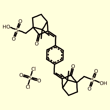 CC1(C)C2CCC1(CS(=O)(=O)O)C(=O)/C2=C\c1ccc(/C=C2\C(=O)C3(CS(=O)(=O)O)CCC2C3(C)C)cc1.O=S(=O)(Cl)Cl